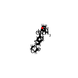 C[C@H]1[C@H](NC(=O)c2cc3sc(N4CCOCC4=O)cc3cn2)C2CCN1CC2